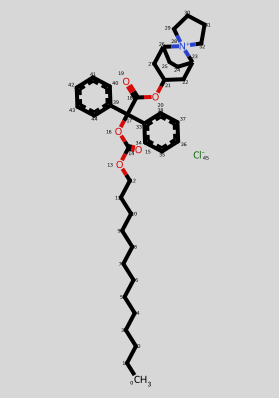 CCCCCCCCCCCCCOC(=O)OC(C(=O)OC1CC2CCC(C1)[N+]21CCCC1)(c1ccccc1)c1ccccc1.[Cl-]